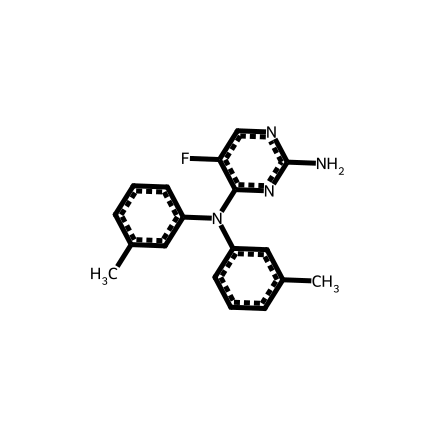 Cc1cccc(N(c2cccc(C)c2)c2nc(N)ncc2F)c1